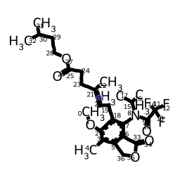 COc1c(C)c2c(c(N(C(=O)C(F)(F)F)C(C)C)c1C/C=C(\C)CCC(=O)OCCC(C)C)C(=O)OC2